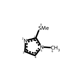 CSc1nccn1C